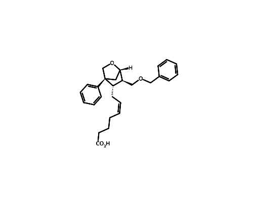 O=C(O)CCC/C=C\C[C@H]1[C@H](COCc2ccccc2)[C@@H]2C[C@@]1(c1ccccc1)CO2